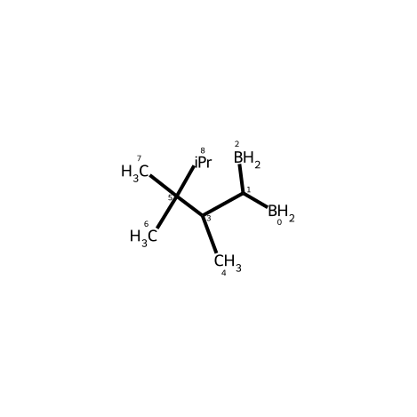 BC(B)C(C)C(C)(C)C(C)C